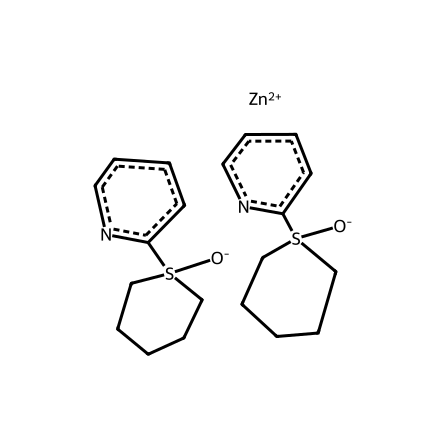 [O-]S1(c2ccccn2)CCCCC1.[O-]S1(c2ccccn2)CCCCC1.[Zn+2]